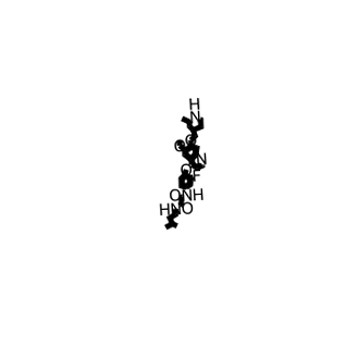 COc1cc2c(Oc3ccc(NC(=O)C(=O)NCCC(C)C)cc3F)ccnc2cc1OCC1CCNC(C)C1